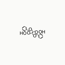 Oc1ccccc1C1OCC2(CO1)COC(c1ccccc1O)OC2